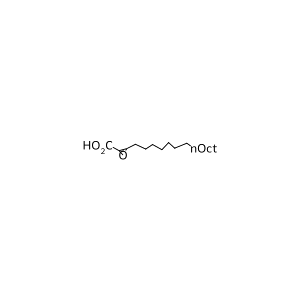 CCCCCCCCCCCCCCCC1=C(C(=O)O)O1